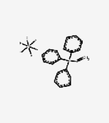 C=C[I+](c1ccccc1)(c1ccccc1)c1ccccc1.F[P-](F)(F)(F)(F)F